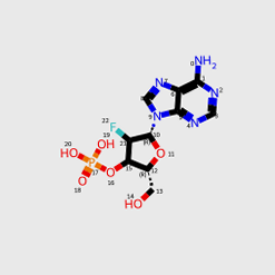 Nc1ncnc2c1ncn2[C@@H]1O[C@H](CO)C(OP(=O)(O)O)C1F